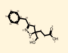 O=C(O)CCC1(CO)CC(Cc2ccccc2)=NO1